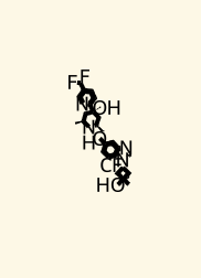 C[C@H]1C[C@@](O)(c2ccc(C(F)F)cn2)C[C@@H](COc2cc(C(F)(F)F)c3c(c2)ncn3C2CC(C)(O)C2)N1